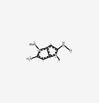 CCNc1cc2c(cc(N)n2NC)n1C